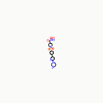 CN1CCCN(c2ccc(-c3ccc(S(=O)(=O)N4CC=C(C(=O)NO)CC4)cc3)cn2)CC1